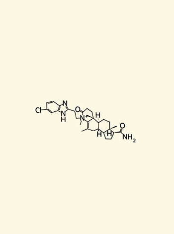 CC1=C2[C@](C)(CCC(=O)[N+]2(C)CCc2nc3ccc(Cl)cc3[nH]2)[C@H]2CC[C@]3(C)[C@@H](C(N)=O)CC[C@H]3[C@@H]2C1